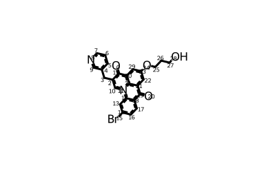 O=c1c(Cc2cccnc2)cn2c3cc(Br)ccc3c(=O)c3cc(OCCCO)cc1c32